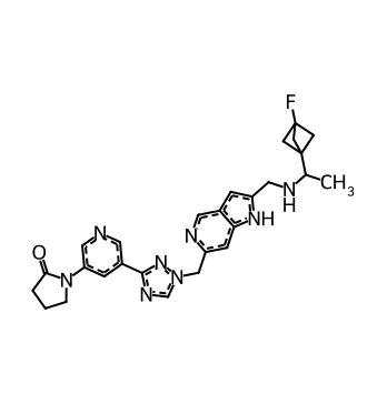 CC(NCc1cc2cnc(Cn3cnc(-c4cncc(N5CCCC5=O)c4)n3)cc2[nH]1)C12CC(F)(C1)C2